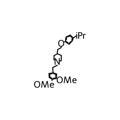 COc1ccc(CCN2CCC(CCOc3ccc(C(C)C)cc3)CC2)cc1OC